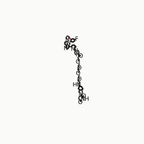 O=C1CCC(N2Cc3ccc(NCCOCCOCCOCCOCCC(=O)N4CCN(c5cccc(-c6cnc7ccc(N8CCC[C@@H]8c8cccc(F)c8)nn67)n5)CC4)cc3C2)C(=O)N1